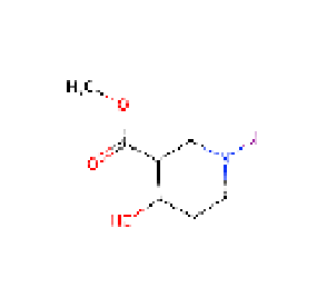 COC(=O)C1CN(I)CCC1O